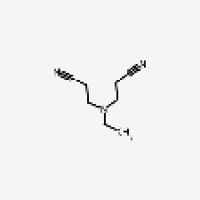 C[CH]N(CCC#N)CCC#N